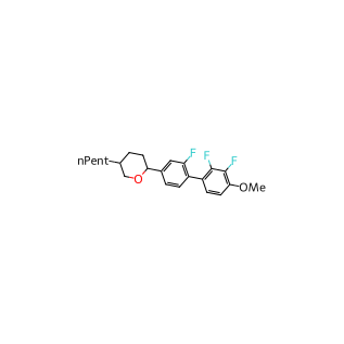 CCCCCC1CCC(c2ccc(-c3ccc(OC)c(F)c3F)c(F)c2)OC1